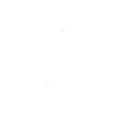 COCCC(=O)Oc1ccc(C=C[N+](=O)[O-])cc1